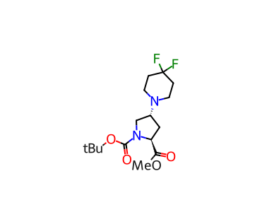 COC(=O)[C@@H]1C[C@@H](N2CCC(F)(F)CC2)CN1C(=O)OC(C)(C)C